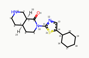 O=C1[C@@H]2CNCC[C@@H]2CCN1c1ncc(C2CCCCC2)s1